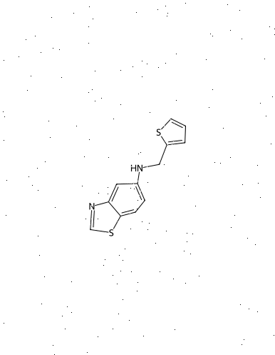 c1csc(CNc2ccc3scnc3c2)c1